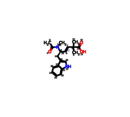 CC(=O)N(C)[C@@H](/C=C/C(C)(C)C(=O)O)Cc1c[nH]c2ccccc12